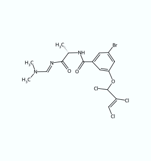 C[C@H](NC(=O)c1cc(Br)cc(OC(Cl)C(Cl)=CCl)c1)C(=O)/N=C/N(C)C